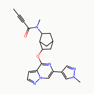 CC#CC(=O)N(C)C1CC2CC(Oc3nc(-c4cnn(C)c4)cn4nccc34)C1C2